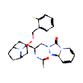 CC(=O)NC(CN1C2CCC1CC(OCc1ccccc1F)C2)Cn1nc2ccccn2c1=O